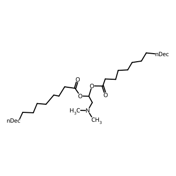 CCCCCCCCCCCCCCCCCC(=O)OC(CN(C)C)OC(=O)CCCCCCCCCCCCCCCCC